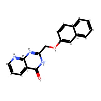 O=c1[nH]c(COc2ccc3ccccc3c2)nc2ncccc12